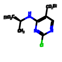 CCOC(=O)c1cnc(Cl)nc1N[C@@H](C)C(=O)OCC